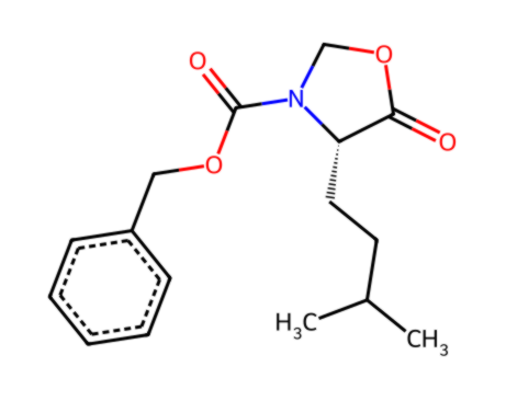 CC(C)CC[C@H]1C(=O)OCN1C(=O)OCc1ccccc1